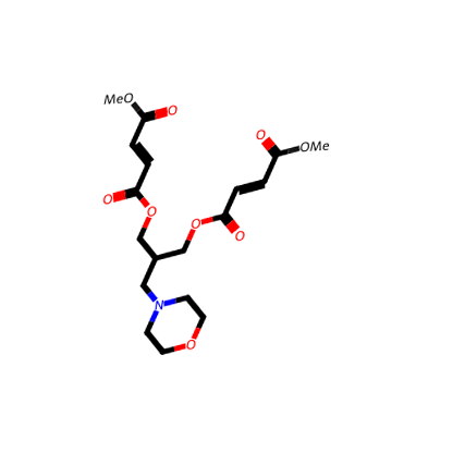 COC(=O)/C=C/C(=O)OCC(COC(=O)/C=C/C(=O)OC)CN1CCOCC1